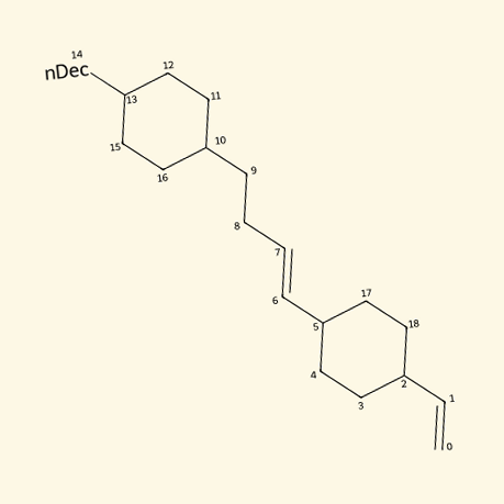 C=CC1CCC(C=CCCC2CCC(CCCCCCCCCC)CC2)CC1